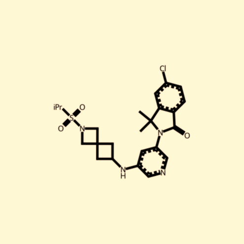 CC(C)S(=O)(=O)N1CC2(CC(Nc3cncc(N4C(=O)c5ccc(Cl)cc5C4(C)C)c3)C2)C1